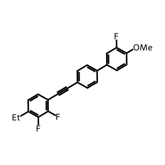 CCc1ccc(C#Cc2ccc(-c3ccc(OC)c(F)c3)cc2)c(F)c1F